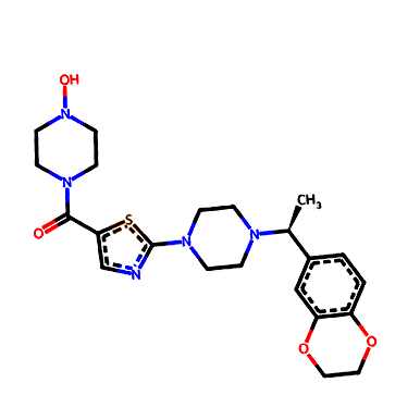 C[C@@H](c1ccc2c(c1)OCCO2)N1CCN(c2ncc(C(=O)N3CCN(O)CC3)s2)CC1